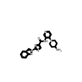 NC1CCN(c2ccncc2NC(=O)c2csc(-n3cc4ccccc4n3)n2)CC1